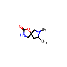 CC(C)N1CC2(CNC(=O)O2)CC1C